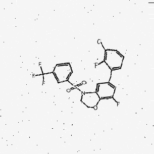 O=S(=O)(c1cccc(C(F)(F)F)c1)N1CCOc2c(F)cc(-c3cccc(Cl)c3F)cc21